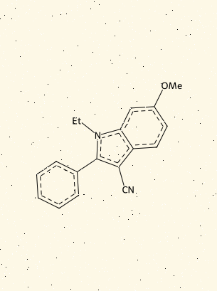 CCn1c(-c2cc[c]cc2)c(C#N)c2ccc(OC)cc21